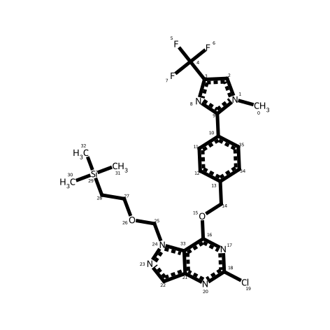 Cn1cc(C(F)(F)F)nc1-c1ccc(COc2nc(Cl)nc3cnn(COCC[Si](C)(C)C)c23)cc1